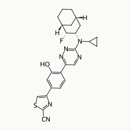 N#Cc1nc(-c2ccc(-c3cnc(N(C4CC4)[C@H]4C[C@H]5CCC[C@H](C5)[C@H]4F)nn3)c(O)c2)cs1